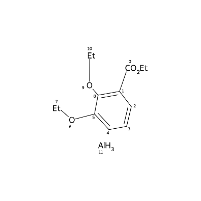 CCOC(=O)c1cccc(OCC)c1OCC.[AlH3]